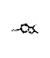 COc1ccc2c(C(C)=O)c(C)nn2c1